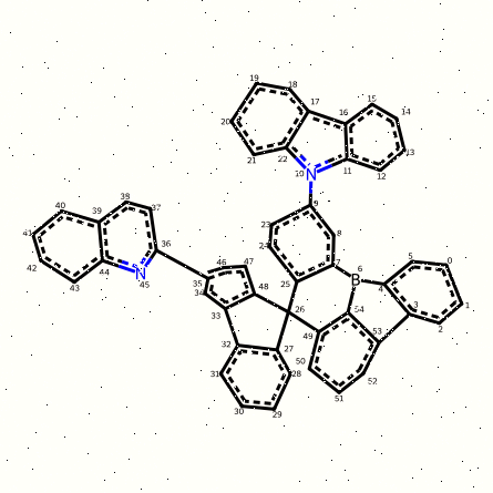 c1ccc2c(c1)B1c3cc(-n4c5ccccc5c5ccccc54)ccc3C3(c4ccccc4-c4cc(-c5ccc6ccccc6n5)ccc43)c3cccc-2c31